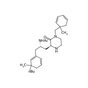 CCCCC1(C)C=C(C[C@@H](C[C@@H]2NCCN(CC3(C)C=CC=CC3)C2=O)NC(C)=O)C=CC1